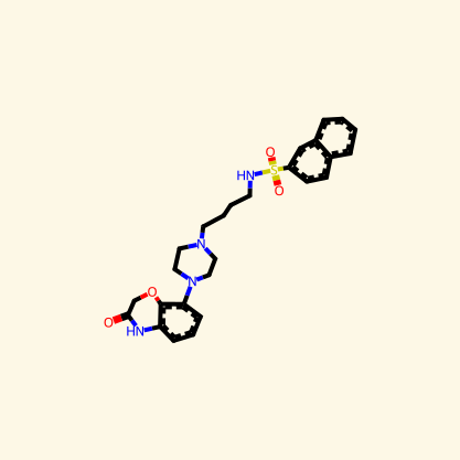 O=C1COc2c(cccc2N2CCN(CCCCNS(=O)(=O)c3ccc4ccccc4c3)CC2)N1